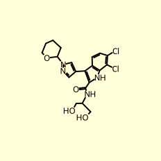 O=C(NC(CO)CO)c1[nH]c2c(Cl)c(Cl)ccc2c1-c1cnn(C2CCCCO2)c1